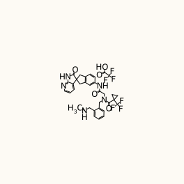 CNCc1ccccc1CN(CC(=O)Nc1ccc2c(c1)CC1(C2)C(=O)Nc2ncccc21)C(=O)C1(C(F)(F)F)CC1.O=C(O)C(F)(F)F